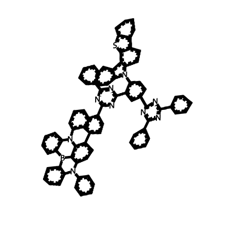 c1ccc(-c2nc(-c3ccccc3)nc(-c3ccc(-n4c5ccccc5c5c6sc7ccccc7c6ccc54)c(-c4nc(-c5ccccc5)nc(-c5ccc(-c6ccc7c8c6N(c6ccccc6)c6ccccc6B8c6ccccc6N7c6ccccc6)cc5)n4)c3)n2)cc1